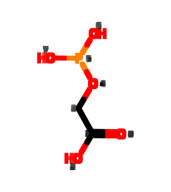 O=C(O)COP(O)O